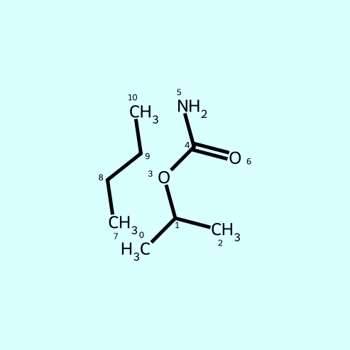 CC(C)OC(N)=O.CCCC